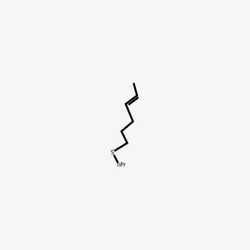 [CH2]CCSCCCC=CC